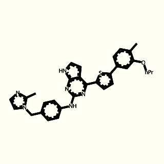 CCCOc1cc(-c2ccc(-c3nc(Nc4ccc(Cn5ccnc5C)cc4)nc4[nH]ccc34)s2)ccc1C